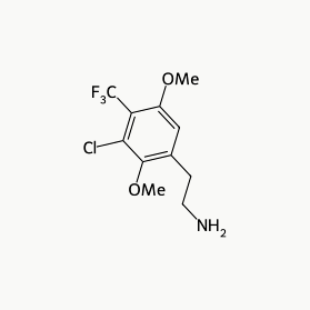 COc1cc(CCN)c(OC)c(Cl)c1C(F)(F)F